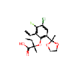 C=Cc1c(F)c(Cl)cc(C2(C)OCCO2)c1OC(C)(CC)C(=O)O